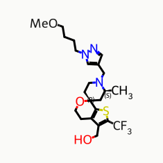 COCCCCn1cc(CN2CC[C@]3(C[C@@H]2C)OCCc2c3sc(C(F)(F)F)c2CO)cn1